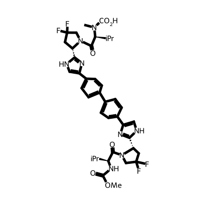 COC(=O)N[C@H](C(=O)N1CC(F)(F)C[C@H]1c1nc(-c2ccc(-c3ccc(-c4c[nH]c([C@@H]5CC(F)(F)CN5C(=O)[C@H](C(C)C)N(C)C(=O)O)n4)cc3)cc2)c[nH]1)C(C)C